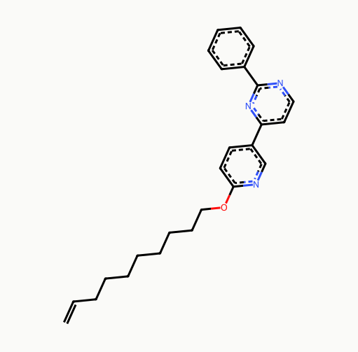 C=CCCCCCCCCOc1ccc(-c2ccnc(-c3ccccc3)n2)cn1